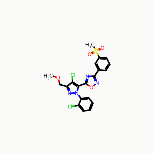 COCc1nn(-c2ccccc2Cl)c(-c2nc(-c3cccc(S(C)(=O)=O)c3)no2)c1Cl